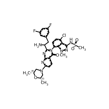 C[C@@H]1CN(c2ccc3c(=O)n(-c4ccc(Cl)c5c(NS(C)(=O)=O)nn(C)c45)c(C(N)Cc4cc(F)cc(F)c4)nc3n2)C[C@H](C)O1